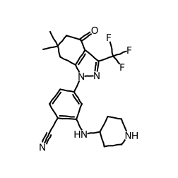 CC1(C)CC(=O)c2c(C(F)(F)F)nn(-c3ccc(C#N)c(NC4CCNCC4)c3)c2C1